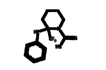 FC(F)(F)C1(Pc2ccccc2)CCCCN1C(=S)S